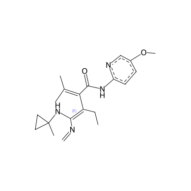 C=N/C(NC1(C)CC1)=C(\CC)C(C(=O)Nc1ccc(OC)cn1)=C(C)C